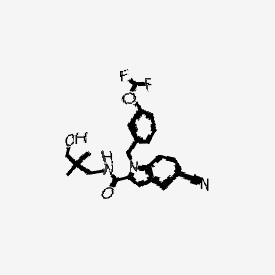 CC(C)(CO)CNC(=O)c1cc2cc(C#N)ccc2n1Cc1cccc(OC(F)F)c1